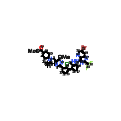 [2H]C([2H])([2H])N(Cc1ncc(-c2cccc(-c3cccc(Nc4nc(C(F)F)nc5cc(Br)cnc45)c3C)c2Cl)nc1OC)C1CCC(C(=O)OC)CC1